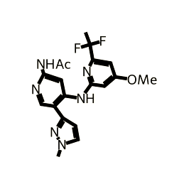 COc1cc(Nc2cc(NC(C)=O)ncc2-c2ccn(C)n2)nc(C(C)(F)F)c1